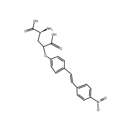 N[C@@H](CC(Oc1ccc(C=Cc2ccc([N+](=O)[O-])cc2)cc1)C(=O)O)C(=O)O